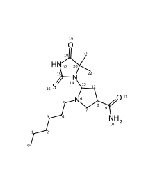 CCCCCCN1CC(C(N)=O)CC1N1C(=S)NC(=O)C1(C)C